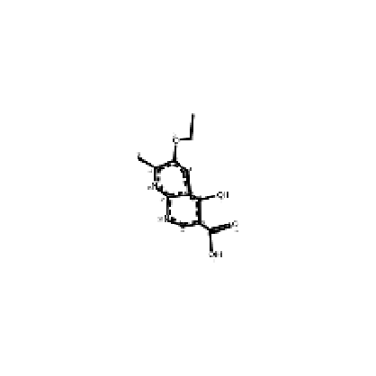 CCOc1cc2c(O)c(C(=O)O)cnc2nc1C